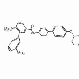 COc1ccc(C(=O)Nc2ccc(-c3ccc(OC4CCN(C)CC4)cc3)cc2)cc1-c1cccc(NC(C)=O)c1